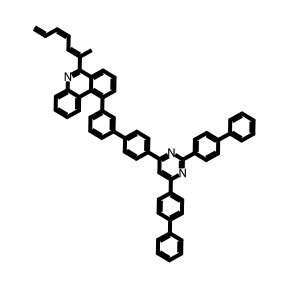 C=C/C=C\C=C(/C)c1nc2ccccc2c2c(-c3cccc(-c4ccc(-c5cc(-c6ccc(-c7ccccc7)cc6)nc(-c6ccc(-c7ccccc7)cc6)n5)cc4)c3)cccc12